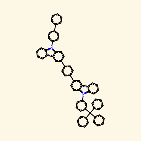 c1ccc(-c2ccc(-n3c4ccccc4c4cc(-c5ccc(-c6ccc7c(c6)c6ccccc6n7-c6cccc(C(c7ccccc7)(c7ccccc7)c7ccccc7)c6)cc5)ccc43)cc2)cc1